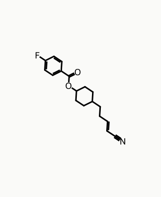 N#CC=CCCC1CCC(OC(=O)c2ccc(F)cc2)CC1